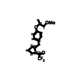 COCC(C)Oc1ccc(CC2CCCN2C(=O)C(F)(F)F)cc1